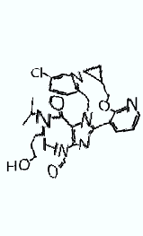 CC(C)N(CCCO)C(=O)c1c(NC=O)nc(-c2cccnc2OCC2CC2)n1Cc1ccc(Cl)cn1